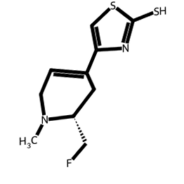 CN1CC=C(c2csc(S)n2)C[C@@H]1CF